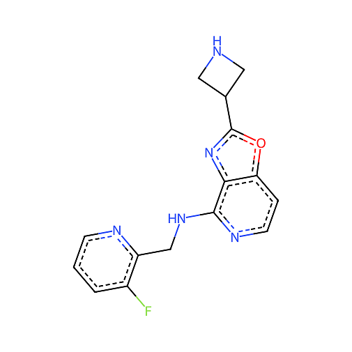 Fc1cccnc1CNc1nccc2oc(C3CNC3)nc12